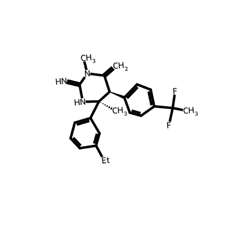 C=C1[C@@H](c2ccc(C(C)(F)F)cc2)[C@@](C)(c2cccc(CC)c2)NC(=N)N1C